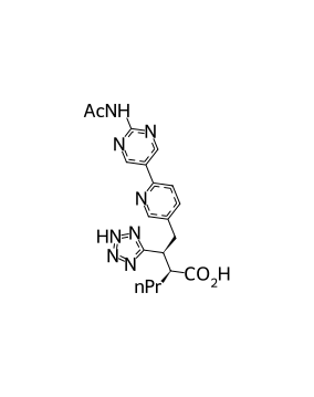 CCC[C@H](C(=O)O)[C@H](Cc1ccc(-c2cnc(NC(C)=O)nc2)nc1)c1nn[nH]n1